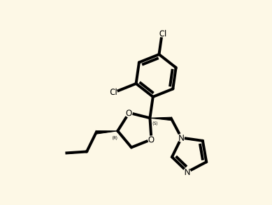 CCC[C@@H]1CO[C@@](Cn2ccnc2)(c2ccc(Cl)cc2Cl)O1